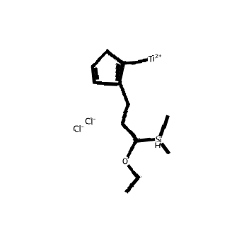 CCOC(CCC1=[C]([Ti+2])CC=C1)[SiH](C)C.[Cl-].[Cl-]